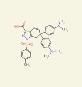 Cc1ccc(S(=O)(=O)n2nc(C(=O)O)c3c2CC(c2ccc(N(C)C)cc2)(c2ccc(N(C)C)cc2)C=C3)cc1